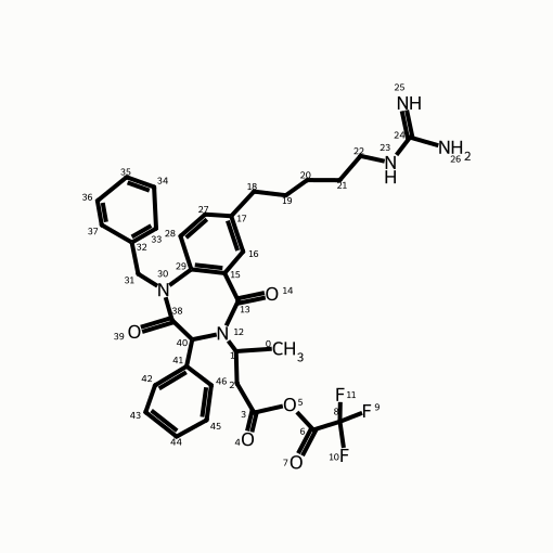 CC(CC(=O)OC(=O)C(F)(F)F)N1C(=O)c2cc(CCCCCNC(=N)N)ccc2N(Cc2ccccc2)C(=O)C1c1ccccc1